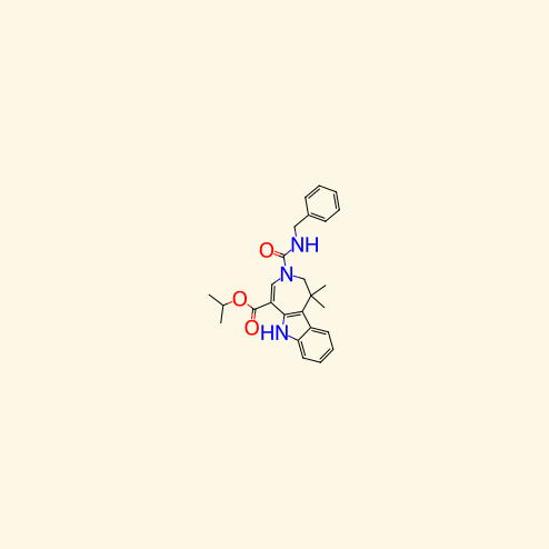 CC(C)OC(=O)C1=CN(C(=O)NCc2ccccc2)CC(C)(C)c2c1[nH]c1ccccc21